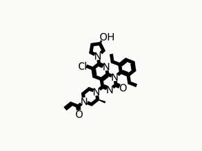 C=CC(=O)N1CCN(c2nc(=O)n(-c3c(CC)cccc3CC)c3nc(N4CC[C@@H](O)C4)c(Cl)cc23)[C@@H](C)C1